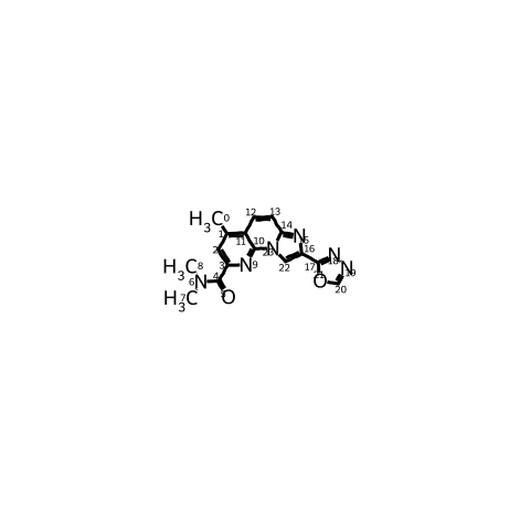 Cc1cc(C(=O)N(C)C)nc2c1ccc1nc(-c3nnco3)cn12